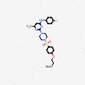 COCCOc1ccc(S(=O)(=O)N2CCN(c3nc(Nc4ccc(F)cc4)cc(C(F)(F)F)n3)CC2)cc1